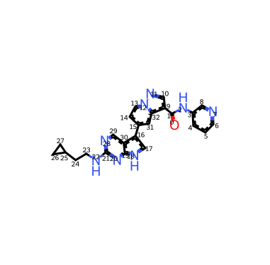 O=C(Nc1cccnc1)c1cnn2ccc(-c3c[nH]c4nc(NCCC5CC5)ncc34)cc12